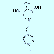 O[C@H]1[C@H](O)CN(CCc2ccc(F)cc2)C[C@@H]1O